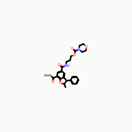 CNC(=O)c1cc(C(=O)NCCCOC(=O)N2CCOCC2)cc2c1OC(C)C2c1ccccc1